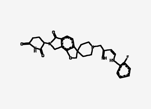 N=C(/C=C\Nc1ccccc1F)CN1CCC2(CC1)COc1c2ccc2c1CN(C1CCC(=O)NC1=O)C2=O